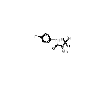 [2H]C([2H])([2H])N(C)C(=O)Nc1ccc(C(C)C)cc1